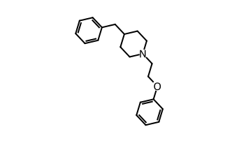 c1ccc(CC2CCN(CCOc3ccccc3)CC2)cc1